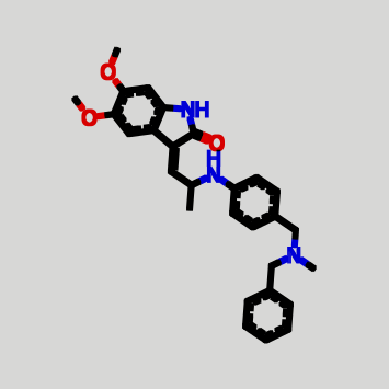 COc1cc2c(cc1OC)C(=CC(C)Nc1ccc(CN(C)Cc3ccccc3)cc1)C(=O)N2